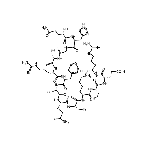 CC[C@H](C)[C@H](NC(=O)[C@H](Cc1ccccc1)NC(=O)[C@H](CCCNC(=N)N)NC(=O)[C@H](CS)NC(=O)CNC(=O)[C@H](Cc1c[nH]cn1)NC(=O)[C@@H](N)CCC(N)=O)C(=O)N[C@@H](CCC(N)=O)C(=O)N[C@@H](CC(C)C)C(=O)N[C@@H](CCCCN)C(=O)N[C@@H](CC(C)C)C(=O)N[C@@H](CCC(=O)O)C(=O)N[C@@H](CCCNC(=N)N)C(=O)O